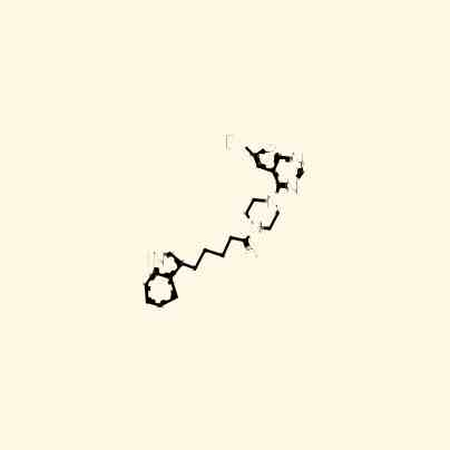 CCc1cc2c(N3CCN(C(=O)CCCCc4c[nH]c5ccccc45)CC3)ncnc2s1